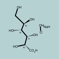 O=C(O)[C@H](O)[C@@H](O)[C@H](O)[C@H](O)CO.OCl.[NaH]